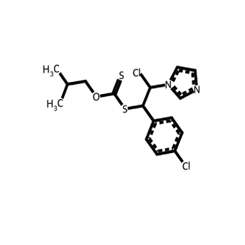 CC(C)COC(=S)SC(c1ccc(Cl)cc1)C(Cl)n1ccnc1